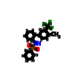 Cc1ccc(-c2ccccc2NS(=O)(=O)c2ccccc2)cc1C(F)(F)F